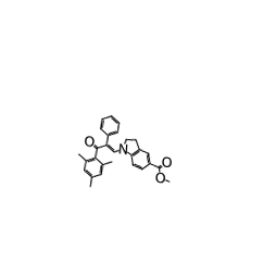 COC(=O)c1ccc2c(c1)CCN2/C=C(/C(=O)c1c(C)cc(C)cc1C)c1ccccc1